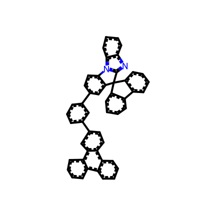 c1cc(-c2ccc3c(c2)C2(c4ccccc4-c4ccccc42)c2nc4ccccc4n2-3)cc(-c2ccc3c4ccccc4c4ccccc4c3c2)c1